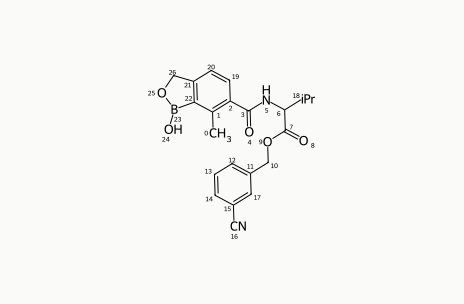 Cc1c(C(=O)NC(C(=O)OCc2cccc(C#N)c2)C(C)C)ccc2c1B(O)OC2